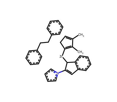 CC1=CC[C]([Zr][CH]2C(n3cccc3)=Cc3ccccc32)=C1C.c1ccc(CCc2ccccc2)cc1